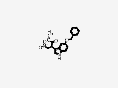 COC(=O)C(C[N+](=O)[O-])c1c[nH]c2ccc(OCc3ccccc3)cc12